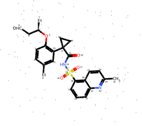 CCc1ccc(O[C@H](CC)CC=O)c(C2(C(=O)NS(=O)(=O)c3cccc4nc(C)ccc34)CC2)c1